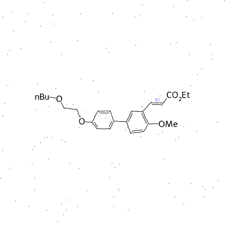 CCCCOCCOc1ccc(-c2ccc(OC)c(/C=C/C(=O)OCC)c2)cc1